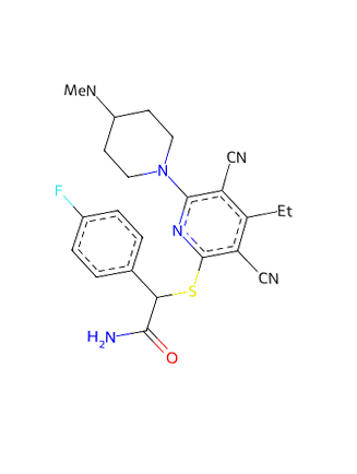 CCc1c(C#N)c(SC(C(N)=O)c2ccc(F)cc2)nc(N2CCC(NC)CC2)c1C#N